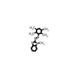 Cc1cc(C)c(C)c(/N=N/c2nc3ccccc3n2C)c1C